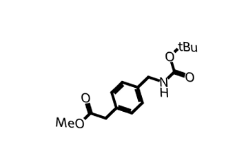 COC(=O)Cc1ccc(CNC(=O)OC(C)(C)C)cc1